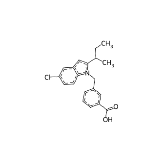 CCC(C)c1cc2cc(Cl)ccc2n1Cc1cccc(C(=O)O)c1